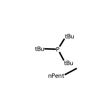 CC(C)(C)P(C(C)(C)C)C(C)(C)C.CCCCCC